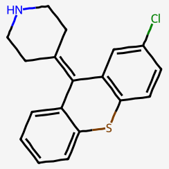 Clc1ccc2c(c1)C(=C1CCNCC1)c1ccccc1S2